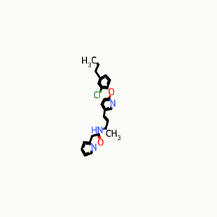 CCCc1ccc(Oc2ccc(/C=C/[C@H](C)NC(=O)Cc3ccccn3)cn2)c(Cl)c1